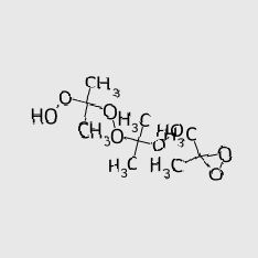 CC(C)(OO)OOC(C)(C)OO.CC1(C)OO1